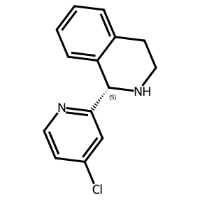 Clc1ccnc([C@H]2NCCc3ccccc32)c1